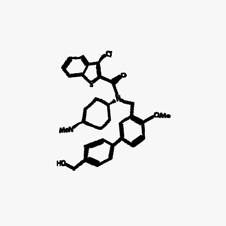 CN[C@H]1CC[C@H](N(Cc2cc(-c3ccc(CO)cc3)ccc2OC)C(=O)c2sc3ccccc3c2Cl)CC1